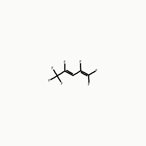 FC(=CC(F)=C(F)F)C(F)(F)F